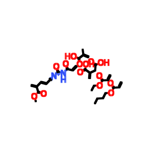 C=C(C)C(=O)O.C=C(CC(=O)O)C(=O)O.C=CC(=O)NC(=O)[N+]#CC=CC(=C)C(=O)OC.C=CC(=O)OCC.C=CC(=O)OCCCC